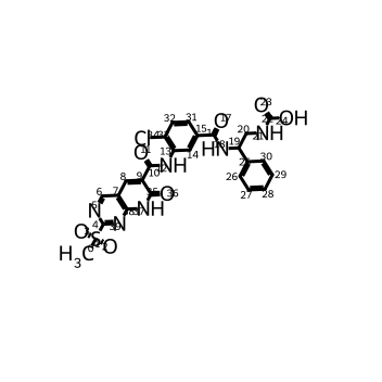 CS(=O)(=O)c1ncc2cc(C(=O)Nc3cc(C(=O)NC(CNC(=O)O)c4ccccc4)ccc3Cl)c(=O)[nH]c2n1